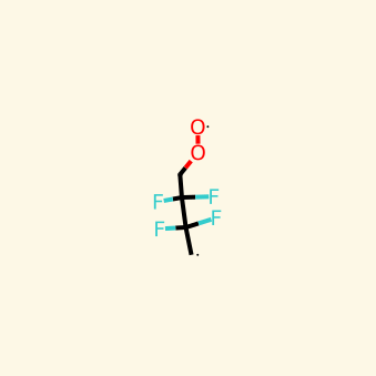 [CH2]C(F)(F)C(F)(F)CO[O]